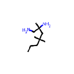 CCCC(C)(C)CC(C)(N)CN